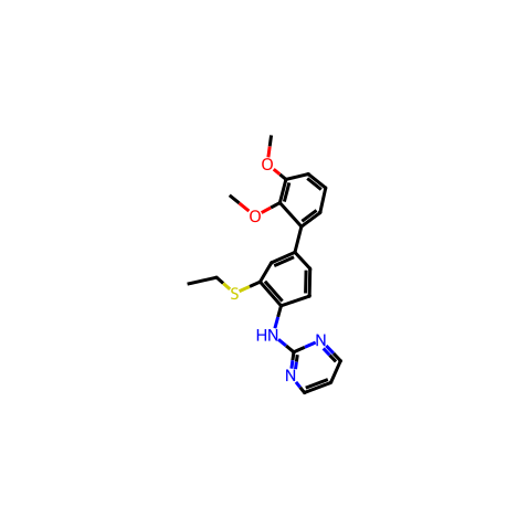 CCSc1cc(-c2cccc(OC)c2OC)ccc1Nc1ncccn1